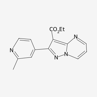 CCOC(=O)c1c(-c2ccnc(C)c2)nn2cccnc12